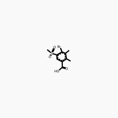 Cc1c(C(=O)O)cc(S(C)(=O)=O)c(Br)c1C